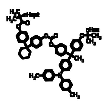 CCCCCCCC(C)(C)C(=O)Oc1ccc(C2(c3ccc(OC(=O)Oc4ccc(C(C)(c5ccc(OC(C)(C)CCCCCC)cc5)c5ccc(N(c6ccc(C)cc6)c6ccc(C)cc6)cc5)cc4)cc3)CCCCC2)cc1